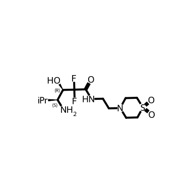 CC(C)[C@H](N)[C@@H](O)C(F)(F)C(=O)NCCN1CCS(=O)(=O)CC1